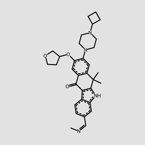 C/N=C\c1ccc2c3c([nH]c2c1)C(C)(C)c1cc(N2CCN(C4CCC4)CC2)c(OC2CCOC2)cc1C3=O